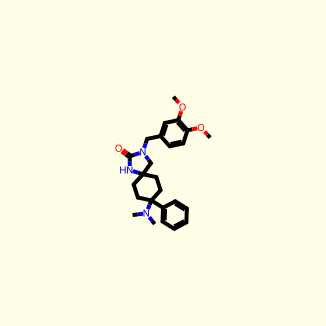 COc1ccc(CN2CC3(CCC(c4ccccc4)(N(C)C)CC3)NC2=O)cc1OC